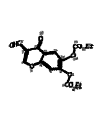 CCOC(=O)Oc1cc2occ([C]=O)c(=O)c2cc1OC(=O)OCC